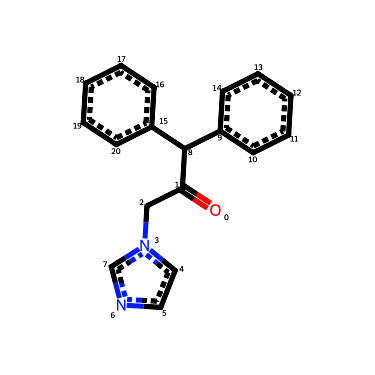 O=C(Cn1ccnc1)C(c1ccccc1)c1ccccc1